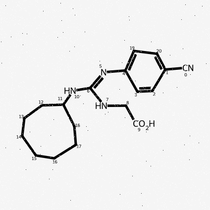 N#Cc1ccc(N=C(NCC(=O)O)NC2CCCCCCC2)cc1